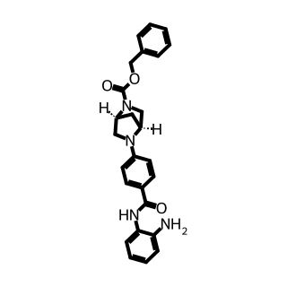 Nc1ccccc1NC(=O)c1ccc(N2C[C@@H]3C[C@H]2CN3C(=O)OCc2ccccc2)cc1